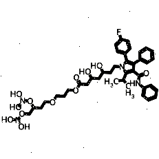 CC(C)c1c(C(=O)Nc2ccccc2)c(-c2ccccc2)c(-c2ccc(F)cc2)n1CCC(O)CC(O)CC(=O)OCCCOCCC(CON(O)O)ON(O)O